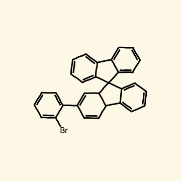 Brc1ccccc1C1=CC2C(C=C1)c1ccccc1C21c2ccccc2-c2ccccc21